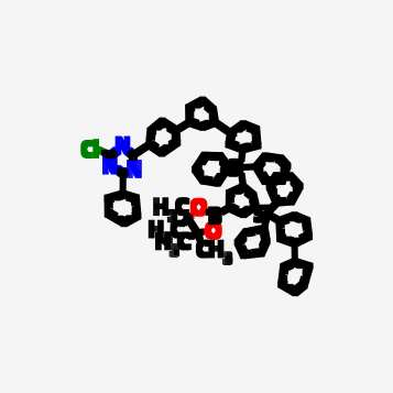 CC1(C)OB(c2cc([Si](c3ccccc3)(c3ccccc3)c3cccc(-c4ccccc4)c3)cc([Si](c3ccccc3)(c3ccccc3)c3cccc(-c4cccc(-c5ccc(-c6nc(Cl)nc(-c7ccccc7)n6)cc5)c4)c3)c2)OC1(C)C